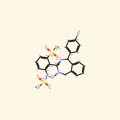 CN1Cc2ccccc2C(c2ccc(Cl)cc2)N=C1c1c(NS(C)(=O)=O)cccc1S(C)(=O)=O